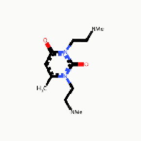 CNCCn1c(C)cc(=O)n(CCNC)c1=O